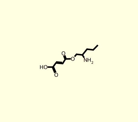 CCCC(N)COC(=O)C=CC(=O)O